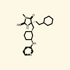 CN1C(=N)N[C@](CCC2CCCCC2)(C[C@@H]2CCC[C@H](Nc3cccnc3)C2)C1=O